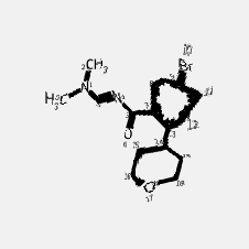 CN(C)/C=N/C(=O)c1cc(Br)ccc1C1CCOCC1